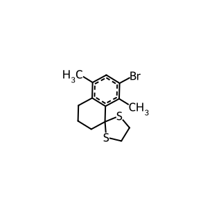 Cc1cc(Br)c(C)c2c1CCCC21SCCS1